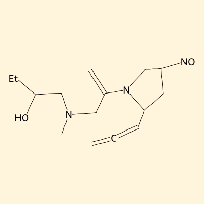 C=C=CC1CC(N=O)CN1C(=C)CN(C)CC(O)CC